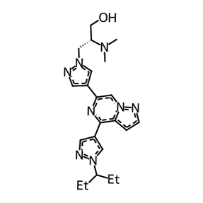 CCC(CC)n1cc(-c2nc(-c3cnn(C[C@H](CO)N(C)C)c3)cn3nccc23)cn1